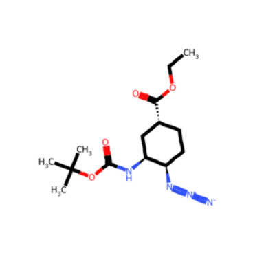 CCOC(=O)[C@@H]1CC[C@@H](N=[N+]=[N-])[C@@H](NC(=O)OC(C)(C)C)C1